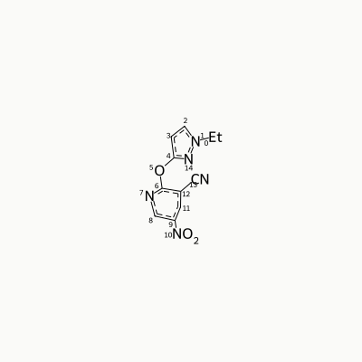 CCn1ccc(Oc2ncc([N+](=O)[O-])cc2C#N)n1